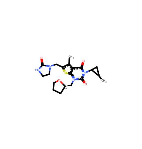 Cc1c(CN2CCNC2=O)sc2c1c(=O)n(C1CC1C)c(=O)n2C[C@H]1CCCO1